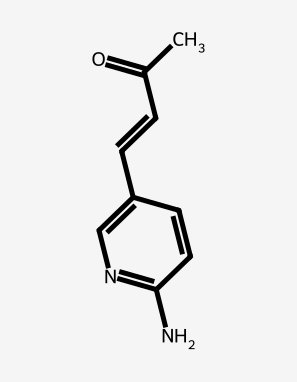 CC(=O)C=Cc1ccc(N)nc1